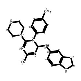 COc1ccc(N2C(N3CCOCC3)=NC(N)=NC2Nc2ccc3c(c2)OCO3)cc1